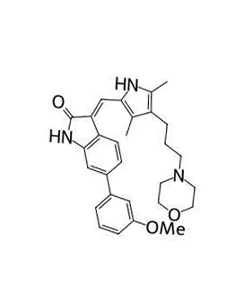 COc1cccc(-c2ccc3c(c2)NC(=O)C3=Cc2[nH]c(C)c(CCCN3CCOCC3)c2C)c1